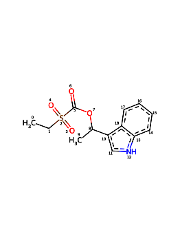 CCS(=O)(=O)C(=O)OC(C)c1c[nH]c2ccccc12